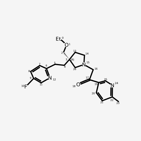 CCOC[C@]1(CCc2ccc(F)cn2)CCN(CC(=O)c2ccc(C)nc2)C1